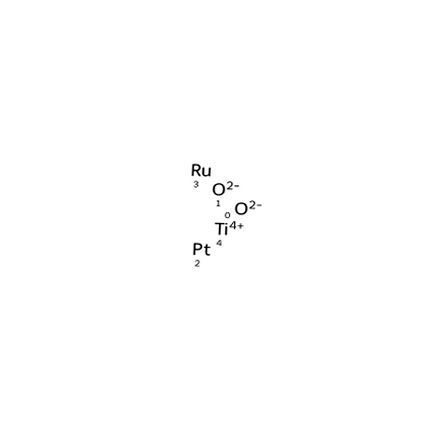 [O-2].[O-2].[Pt].[Ru].[Ti+4]